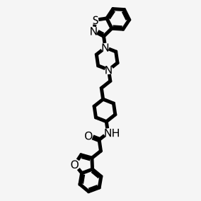 O=C(Cc1coc2ccccc12)NC1CCC(CCN2CCN(c3nsc4ccccc34)CC2)CC1